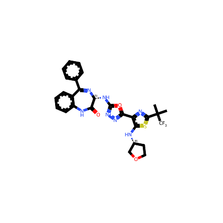 CC(C)(c1nc(-c2nnc(N[C@H]3N=C(c4ccccc4)c4ccccc4NC3=O)o2)c(N[C@@H]2CCOC2)s1)C(F)(F)F